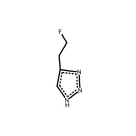 FCCc1c[nH]nn1